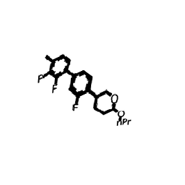 CCCOC1CCC(c2ccc(-c3ccc(C)c(F)c3F)cc2F)CO1